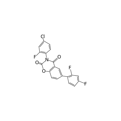 O=c1oc2ccc(-c3ccc(F)cc3F)cc2c(=O)n1-c1ccc(Cl)cc1F